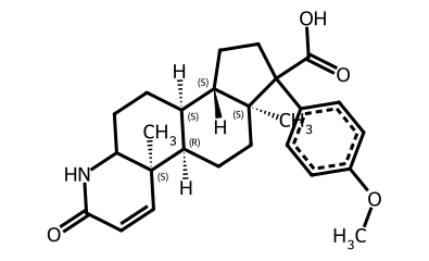 COc1ccc(C2(C(=O)O)CC[C@H]3[C@@H]4CCC5NC(=O)C=C[C@]5(C)[C@@H]4CC[C@@]32C)cc1